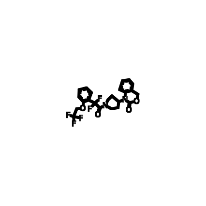 O=C1OCc2ccccc2N1C1CCN(C(=O)C(F)(F)c2ccccc2OCC(F)(F)F)CC1